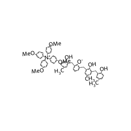 COc1ccc([N+](c2ccc(OC)cc2)(c2ccc(OC)cc2)c2ccc(OC)cc2)cc1.Cc1ccc(O)c(Cc2cccc(Cc3cc(C)cc(Cc4cc(C)ccc4O)c3O)c2[O-])c1